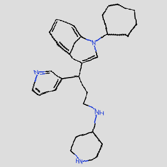 c1cncc(C(CCNC2CCNCC2)c2cn(C3CCCCC3)c3ccccc23)c1